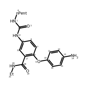 CCCCCNC(=O)Nc1ccc(Oc2ccc(N)cc2)c(C(=O)NCC)c1